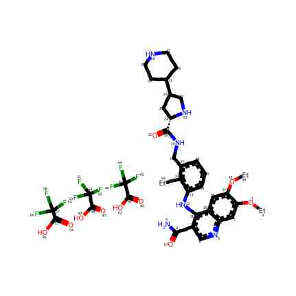 CCOc1cc2ncc(C(N)=O)c(Nc3cccc(CNC(=O)[C@@H]4CC(C5CCNCC5)CN4)c3CC)c2cc1OCC.O=C(O)C(F)(F)F.O=C(O)C(F)(F)F.O=C(O)C(F)(F)F